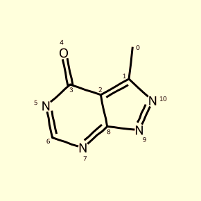 CC1=C2C(=O)N=CN=C2N=N1